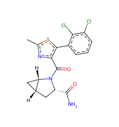 Cc1nc(C(=O)N2[C@H](C(N)=O)C[C@@H]3C[C@@H]32)c(-c2cccc(Cl)c2Cl)s1